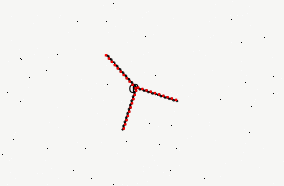 CCCCCCCCCCCCCCCCCCCCP(=O)(CCCCCCCCCCCCCCCCCCCC)CCCCCCCCCCCCCCCCCCCC